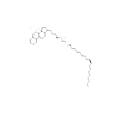 CCCCCCCC/C=C\CCCCCCCC(=O)NCCNC(=O)CC[C@@H](C)C1CC[C@H]2[C@@H]3[C@H](O)C[C@@H]4C[C@H](O)CC[C@]4(C)[C@H]3CC[C@]12C